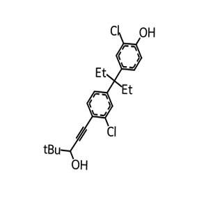 CCC(CC)(c1ccc(O)c(Cl)c1)c1ccc(C#CC(O)C(C)(C)C)c(Cl)c1